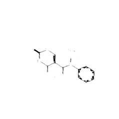 CCOC(=O)N(c1ccccc1)C(Cl)C1=CNC(=O)NC1S(=O)(=O)O.[NaH]